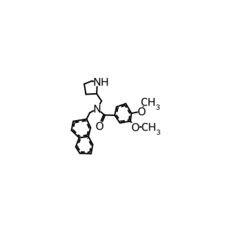 COc1ccc(C(=O)N(Cc2ccc3ccccc3c2)CC2CCCN2)cc1OC